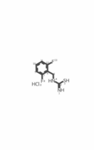 Cl.N=C(S)NCc1c(F)cccc1F